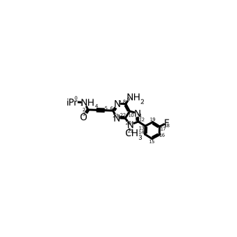 CC(C)NC(=O)C#Cc1nc(N)c2nc(-c3cccc(F)c3)n(C)c2n1